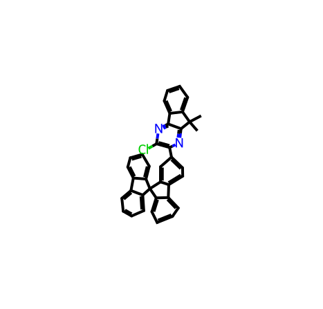 CC1(C)c2ccccc2-c2nc(Cl)c(-c3ccc4c(c3)C3(c5ccccc5-c5ccccc53)c3ccccc3-4)nc21